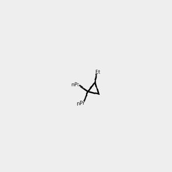 CCCC1(CCC)CC1CC